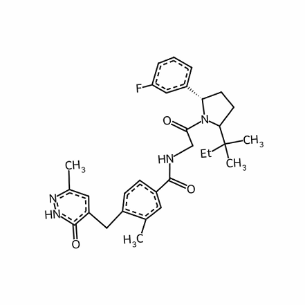 CCC(C)(C)C1CC[C@@H](c2cccc(F)c2)N1C(=O)CNC(=O)c1ccc(Cc2cc(C)n[nH]c2=O)c(C)c1